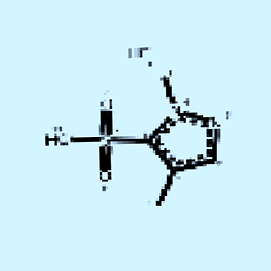 Cc1cnn(C)c1S(=O)(=O)O.Cl